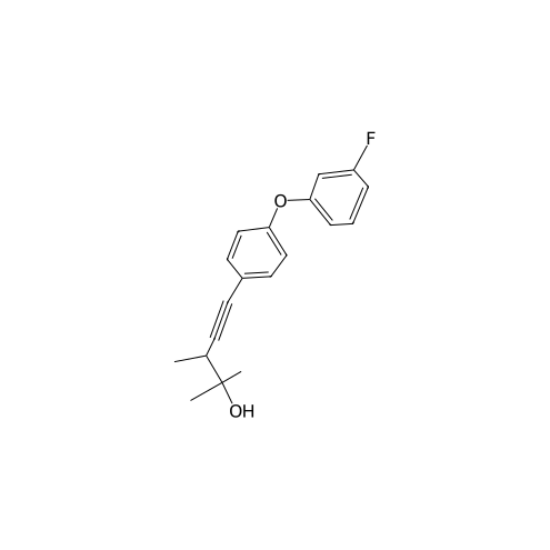 CC(C#Cc1ccc(Oc2cccc(F)c2)cc1)C(C)(C)O